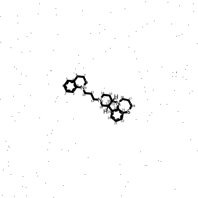 c1ccc2c(c1)CCCN2CCCN1CC[C@H]2[C@@H](C1)c1cccc3c1N2CCCS3